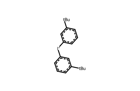 CC(C)(C)c1cccc([I+]c2cccc(C(C)(C)C)c2)c1